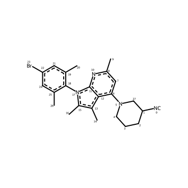 [C-]#[N+]C1CCCN(c2cc(C)nc3c2c(C)c(C)n3-c2c(C)cc(Br)cc2C)C1